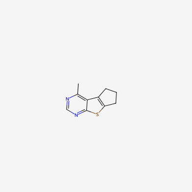 Cc1ncnc2sc3c(c12)CCC3